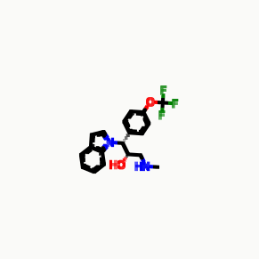 CNC[C@H](O)[C@@H](c1ccc(OC(F)(F)F)cc1)n1ccc2ccccc21